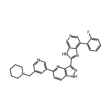 Fc1ccccc1-c1cncc2[nH]c(-c3n[nH]c4ccc(-c5cncc(CN6CCCCC6)c5)nc34)nc12